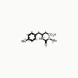 CC(C)(C)OC(=O)NC(CC(=O)O)Cc1ccc(C(C)(C)C)cc1